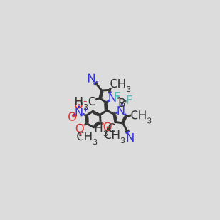 COc1cc(OC)c([N+](=O)[O-])cc1/C(=C1/N=C(C)C(C#N)=C1C)c1c(C)c(C#N)c(C)n1B(F)F